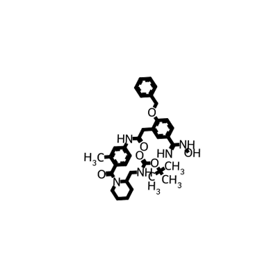 Cc1cc(NC(=O)Cc2cc(C(=N)NO)ccc2OCc2ccccc2)ccc1C(=O)N1CCCCC1CNC(=O)OC(C)(C)C